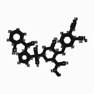 COC(=O)C1CN(S(=O)(=O)c2sccc2C(=O)c2ccccc2Cl)CC(=O)N1Cc1ccc(C#N)c(N)c1